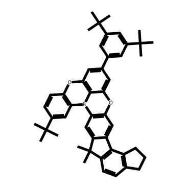 CC(C)(C)c1cc(-c2cc3c4c(c2)Oc2cc5c(cc2B4c2cc(C(C)(C)C)ccc2O3)C(C)(C)c2ccc3c(c2-5)CCC3)cc(C(C)(C)C)c1